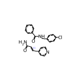 NC(=O)/C=C/c1ccncc1.O=C(NCc1ccc(Cl)cc1)c1ccccc1